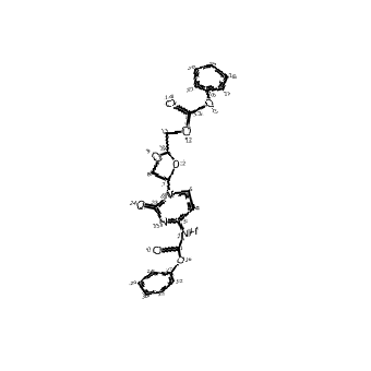 O=C(Nc1ccn(C2COC(COC(=O)Oc3ccccc3)O2)c(=O)n1)Oc1ccccc1